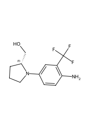 Nc1ccc(N2CCC[C@@H]2CO)cc1C(F)(F)F